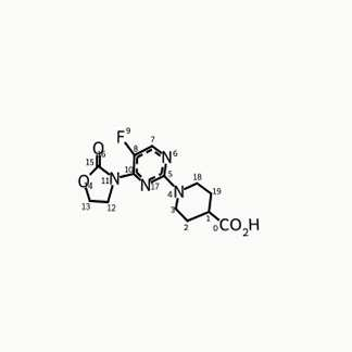 O=C(O)C1CCN(c2ncc(F)c(N3CCOC3=O)n2)CC1